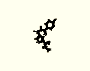 C[C@H](NC(=O)C1CCN(C)CC1)c1cc(C(=O)NO)sn1